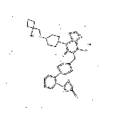 CCCc1c(Cc2ccc(-c3ccccc3-c3noc(=O)[nH]3)cc2)c(=O)n(C2CCC(OCC3(O)CCC3)CC2)c2ncnn12.[KH]